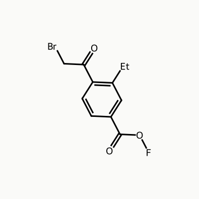 CCc1cc(C(=O)OF)ccc1C(=O)CBr